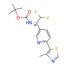 Cc1ncsc1-c1ccc([C@H](NC(=O)OC(C)(C)C)C(F)F)cn1